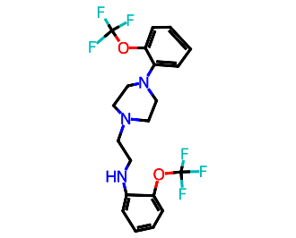 FC(F)(F)Oc1ccccc1NCCN1CCN(c2ccccc2OC(F)(F)F)CC1